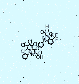 O=C(O)c1nn(-c2ccccc2)c2c(Cl)c(Cl)c(Cl)c(Cl)c2c1=O.O=C(O)c1nn(-c2ccccc2)c2cccc(C(F)(F)F)c2c1=O